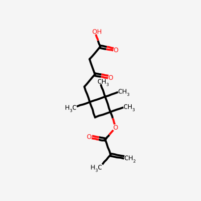 C=C(C)C(=O)OC1(C)CC(C)(CC(=O)CC(=O)O)C1(C)C